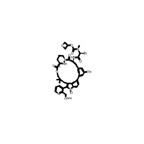 CCn1c(-c2cccnc2COC)c2c3cc(ccc31)-c1cc(O)cc(c1)C[C@H](NC(=O)[C@H](C(C)C)N(C)C(=O)OC1COC1)C(=O)N1CCC[C@H](N1)C(=O)OCC(C)(C)C2